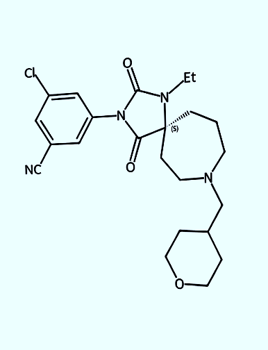 CCN1C(=O)N(c2cc(Cl)cc(C#N)c2)C(=O)[C@@]12CCCN(CC1CCOCC1)CC2